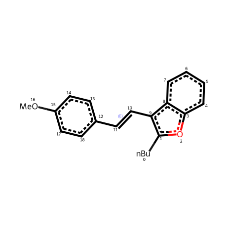 CCCCc1oc2ccccc2c1/C=C/c1ccc(OC)cc1